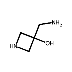 NCC1(O)CNC1